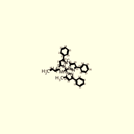 C=CC=[CH][Mn][C](n1nc(-c2ccccc2)cc1C)(n1nc(-c2ccccc2)cc1C)n1nc(-c2ccccc2)cc1C